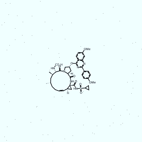 COc1ccc(-c2nc(O[C@@H]3C[C@H]4C(=O)N[C@]5(C(=O)NS(=O)(=O)C6CC6)C[C@H]5/C=C\CC[C@H](C)C[C@@H](C)[C@H](NC(=O)O)C(=O)N4C3)c3ccc(OC)cc3n2)cc1